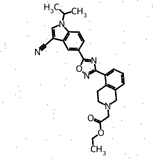 CCOC(=O)CN1CCc2c(cccc2-c2noc(-c3ccc4c(c3)c(C#N)cn4C(C)C)n2)C1